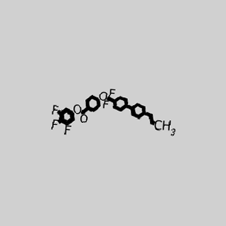 CCCC1CC=C(C2CCC(C(F)(F)OC3CCC(C(=O)Oc4cc(F)c(F)c(F)c4)CC3)CC2)CC1